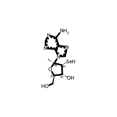 C[C@@]1(n2cnc3c(N)ncnc32)O[C@H](CO)[C@@H](O)[C@H]1[SeH]